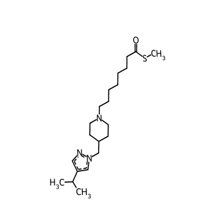 CSC(=O)CCCCCCCN1CCC(Cn2cc(C(C)C)cn2)CC1